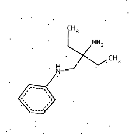 CCC(N)(CC)CNc1ccccc1